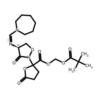 CC(C)(C)C(=O)OCOC(=O)C1(N2OC[C@H](/N=C\N3CCCCCC3)C2=O)CCC(=O)O1